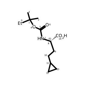 CCC(C)(C)OC(=O)N[C@@H](CCC1CC1)C(=O)O